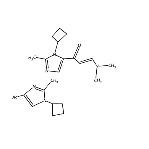 CC(=O)c1cn(C2CCC2)c(C)n1.Cc1ncc(C(=O)C=CN(C)C)n1C1CCC1